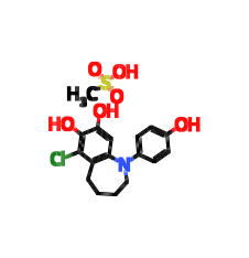 CS(=O)(=O)O.Oc1ccc(N2CCCCc3c2cc(O)c(O)c3Cl)cc1